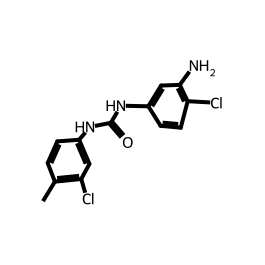 Cc1ccc(NC(=O)Nc2ccc(Cl)c(N)c2)cc1Cl